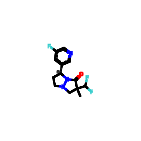 CC1(C(F)F)CN2CC[C@H](c3cncc(F)c3)N2C1=O